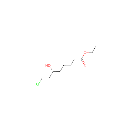 CCOC(=O)CCCC[C@@H](O)CCCl